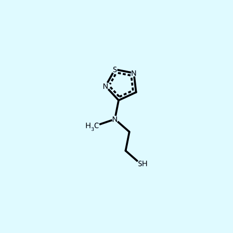 CN(CCS)c1cnsn1